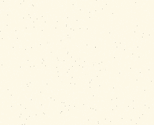 CCCO[C@H]1O[C@H](CO[C@H]2O[C@H](CO)[C@@H](O)[C@H](O)[C@@H]2O)[C@@H](O)[C@H](O[C@H]2O[C@H](CO)[C@@H](O)[C@H](C=O)[C@@H]2O)[C@@H]1O